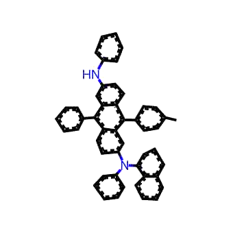 Cc1ccc(-c2c3ccc(Nc4ccccc4)cc3c(-c3ccccc3)c3ccc(N(c4ccccc4)c4cccc5ccccc45)cc23)cc1